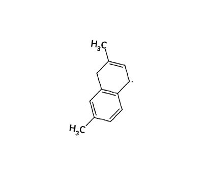 CC1=C[CH]c2ccc(C)cc2C1